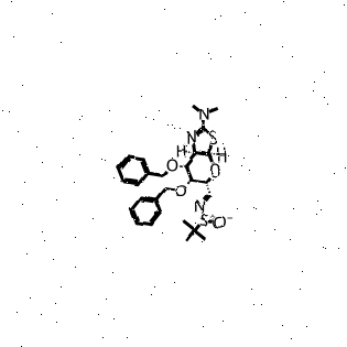 CN(C)C1=N[C@@H]2[C@@H](OCc3ccccc3)[C@@H](OCc3ccccc3)[C@@H](C=N[S+]([O-])C(C)(C)C)O[C@@H]2S1